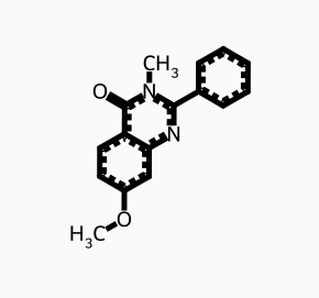 COc1ccc2c(=O)n(C)c(-c3ccccc3)nc2c1